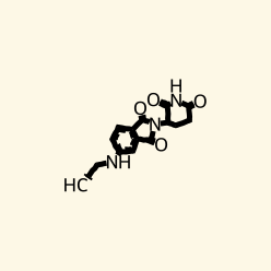 C#CCNc1ccc2c(c1)C(=O)N(C1CCC(=O)NC1=O)C2=O